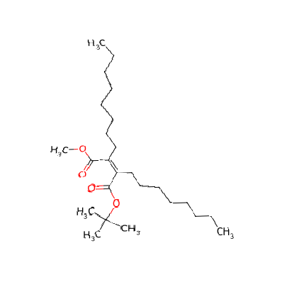 CCCCCCCC/C(C(=O)OC)=C(\CCCCCCCC)C(=O)OC(C)(C)C